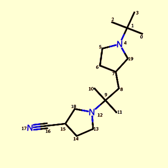 CC(C)(C)N1CCC(CC(C)(C)N2CCC(C#N)C2)C1